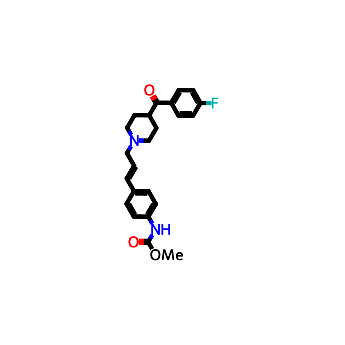 COC(=O)Nc1ccc(C=CCN2CCC(C(=O)c3ccc(F)cc3)CC2)cc1